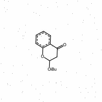 CC(C)COC1CC(=O)c2ccccc2O1